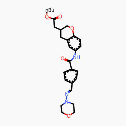 CCCCOC(=O)CC1COc2ccc(NC(=O)c3ccc(/C=N/N4CCOCC4)cc3)cc2C1